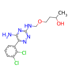 CC(O)CCOCNc1nnc(-c2cccc(Cl)c2Cl)c(N)n1